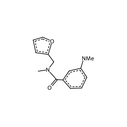 CNc1cccc(C(=O)N(C)Cc2ccco2)c1